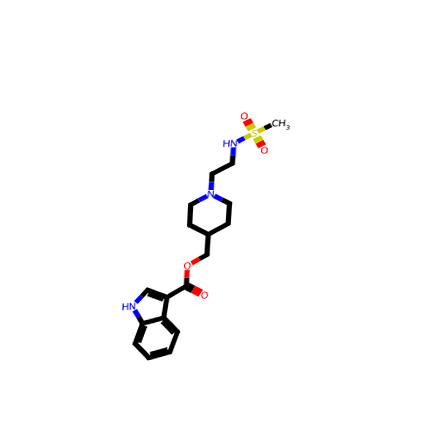 CS(=O)(=O)NCCN1CCC(COC(=O)c2c[nH]c3ccccc23)CC1